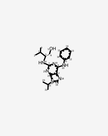 CC(C)[C@H](CO)Nc1nc(Nc2ccccc2)c2nnn(C(C)C)c2n1